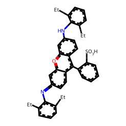 CCc1cccc(CC)c1/N=c1\ccc2c(-c3ccccc3S(=O)(=O)O)c3ccc(Nc4c(CC)cccc4CC)cc3oc-2c1